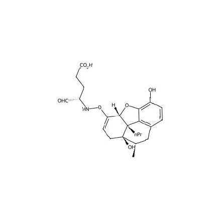 CCC[C@]12c3c4ccc(O)c3O[C@H]1C(ON[C@H](C=O)CCC(=O)O)=CC[C@@]2(O)[C@H](C)C4